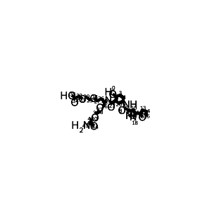 COc1ccc(NC(=O)c2cc(-c3ccco3)n(C)n2)cc1C(=O)NC(CCOCCOCC(=O)O)COCCOCC(N)=O